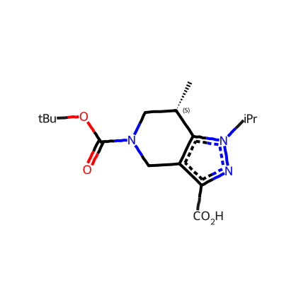 CC(C)n1nc(C(=O)O)c2c1[C@@H](C)CN(C(=O)OC(C)(C)C)C2